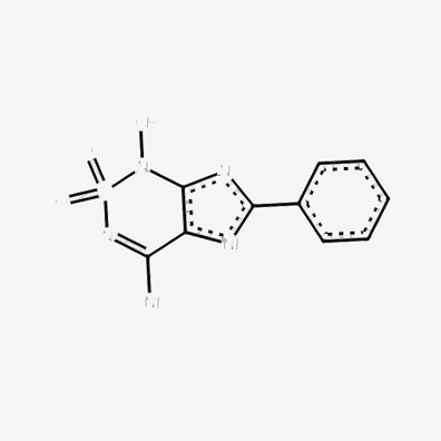 CN1c2nc(-c3ccccc3)[nH]c2C(N)=NS1(=O)=O